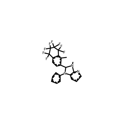 Cc1c(C2N(C)c3ncccc3N2c2ccccc2)ccc2c1C(F)(F)C(F)(F)C(F)(F)C2(F)F